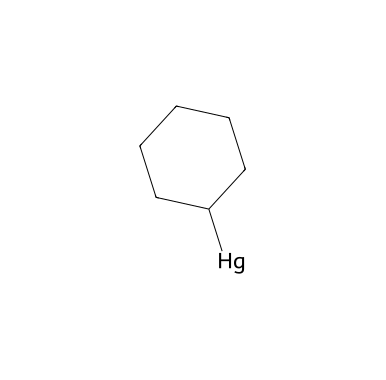 [Hg][CH]1CCCCC1